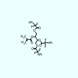 C=C(C)C(=O)OC(COC(=O)C(F)(F)CCC)C(COC(=O)C(F)(F)CCC)OC(=O)C(F)(F)CCC